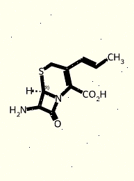 CC=CC1=C(C(=O)O)N2C(=O)C(N)[C@H]2SC1